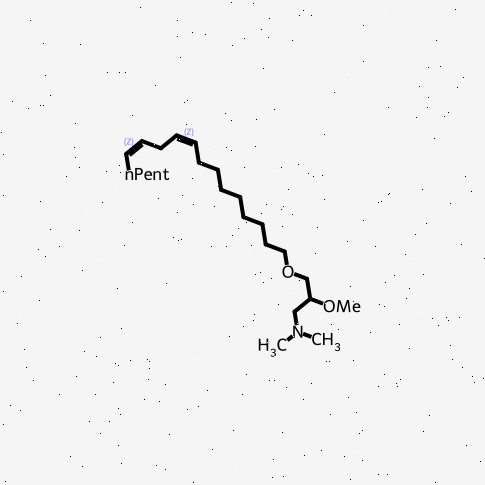 CCCCC/C=C\C/C=C\CCCCCCCCOCC(CN(C)C)OC